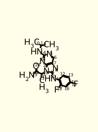 CC(C)Nc1ncc2nc(Nc3ccc(F)cc3F)n([C@@H](C)C(N)=O)c2n1